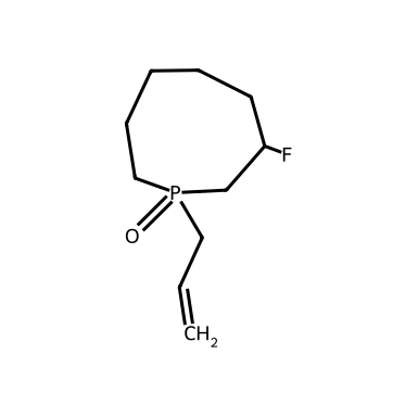 C=CCP1(=O)CCCCCC(F)C1